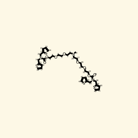 CN(CCOCCOCCOC(=O)N(Cc1cccs1)Cc1cccs1)CCOCCOCCOC(=O)N(Cc1cccs1)Cc1cccs1